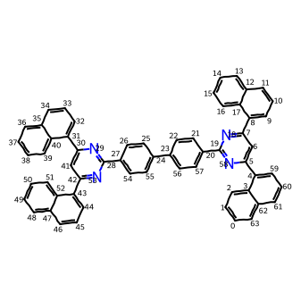 c1ccc2c(-c3cc(-c4cccc5ccccc45)nc(-c4ccc(-c5ccc(-c6nc(-c7cccc8ccccc78)cc(-c7cccc8ccccc78)n6)cc5)cc4)n3)cccc2c1